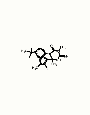 Cc1csc([C@@]2(C)NC(=N)N(C)C(=O)[C@@H]2c2ccc(C(C)(F)F)cc2)c1Cl